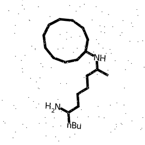 CCCCC(N)CCCCC(C)NC1CCCCCCCCCC1